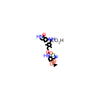 Cc1cc(C(Nc2ccc3cc[nH]c(=O)c3c2)C(=O)O)cc(C)c1CCOC(=O)Nc1ccc(S(=O)(=O)C2CC2)c(CN(C)Cl)c1